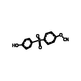 N#COc1ccc(S(=O)(=O)c2ccc(O)cc2)cc1